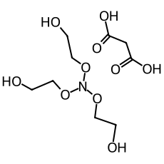 O=C(O)CC(=O)O.OCCON(OCCO)OCCO